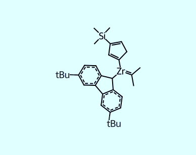 C[C](C)=[Zr]([C]1=CC([Si](C)(C)C)=CC1)[CH]1c2ccc(C(C)(C)C)cc2-c2cc(C(C)(C)C)ccc21